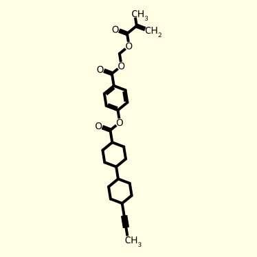 C=C(C)C(=O)OCOC(=O)c1ccc(OC(=O)C2CCC(C3CCC(C#CC)CC3)CC2)cc1